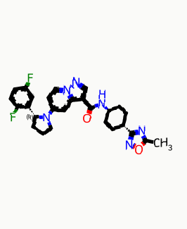 Cc1nc([C@H]2CC[C@H](NC(=O)c3cnn4ccc(N5CCC[C@@H]5c5cc(F)ccc5F)cc34)CC2)no1